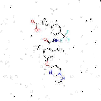 Cc1cc(Oc2ccn3nccc3n2)cc(C)c1C(=O)Nc1cc([C@H]2C[C@H]2C(=O)O)ccc1C(F)(F)F